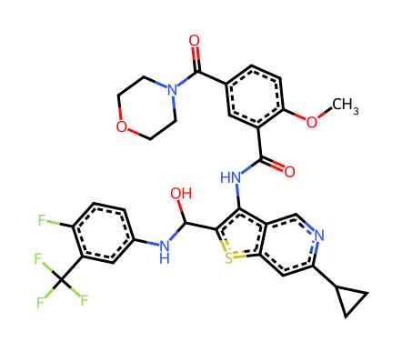 COc1ccc(C(=O)N2CCOCC2)cc1C(=O)Nc1c(C(O)Nc2ccc(F)c(C(F)(F)F)c2)sc2cc(C3CC3)ncc12